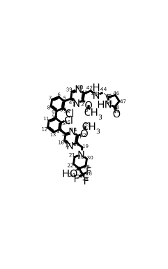 COc1nc(-c2cccc(-c3cccc(-c4cnc(CN5CCC(O)(C(F)(F)F)CC5)c(OC)n4)c3Cl)c2Cl)cnc1CNC[C@@H]1CCC(=O)N1